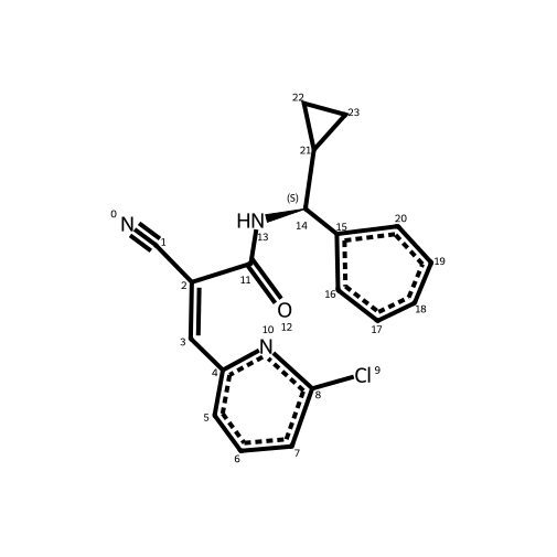 N#CC(=Cc1cccc(Cl)n1)C(=O)N[C@H](c1ccccc1)C1CC1